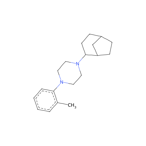 Cc1ccccc1N1CCN(C2CCC3CCC2C3)CC1